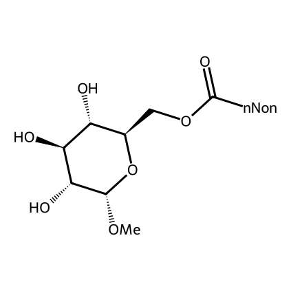 CCCCCCCCCC(=O)OC[C@H]1O[C@H](OC)[C@H](O)[C@@H](O)[C@@H]1O